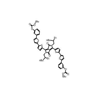 CCCCC(CC)CN1C(=O)C2=C(c3ccc(-c4ccc(-c5cccc(OC(=O)OC(C)(C)C)c5)s4)s3)N(CC(CC)CCCC)C(=O)C2=C1c1ccc(-c2ccc(-c3cccc(OC(=O)OC(C)(C)C)c3)s2)s1